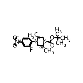 C[C@@H]1CN(C(=O)OC(C)(C)C)[C@@H](C)CN1c1ccc([N+](=O)[O-])cc1F